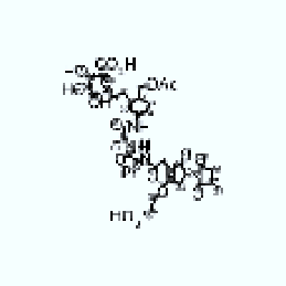 CC(=O)OCc1ccc(NC(=O)[C@H](C)NC(=O)[C@@H](NC(=O)CN2C(=O)[C@@H](N3C(=O)CC(C)C3=O)C[C@H]2COCCS(=O)(=O)O)C(C)C)cc1CC[C@@H]1O[C@H](C(=O)O)[C@@H](O)[C@H](O)[C@H]1O